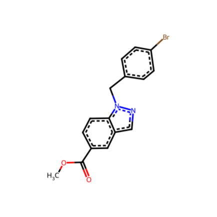 COC(=O)c1ccc2c(cnn2Cc2ccc(Br)cc2)c1